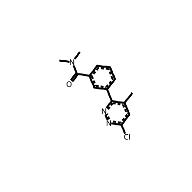 Cc1cc(Cl)nnc1-c1cccc(C(=O)N(C)C)c1